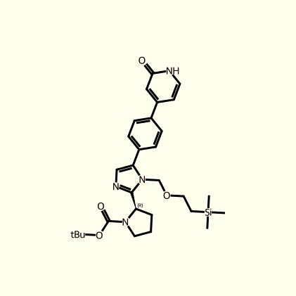 CC(C)(C)OC(=O)N1CCC[C@@H]1c1ncc(-c2ccc(-c3cc[nH]c(=O)c3)cc2)n1COCC[Si](C)(C)C